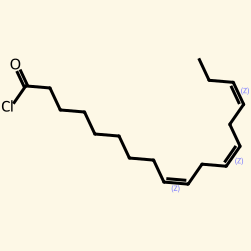 CC/C=C\C/C=C\C/C=C\CCCCCCCC(=O)Cl